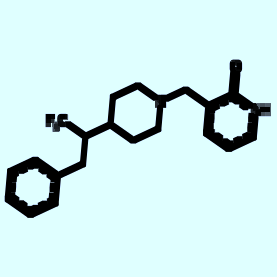 O=c1[nH]cccc1CN1CCC(C(Cc2ccccc2)C(F)(F)F)CC1